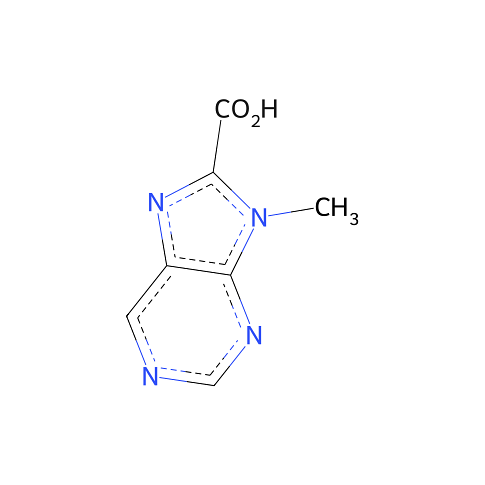 Cn1c(C(=O)O)nc2cncnc21